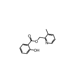 Cc1cccnc1COC(=O)c1ccccc1O